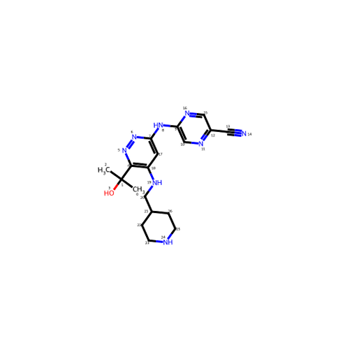 CC(C)(O)c1nnc(Nc2cnc(C#N)cn2)cc1NCC1CCNCC1